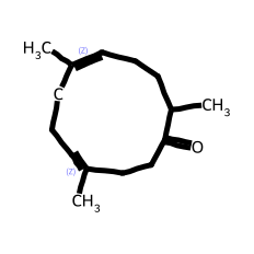 C/C1=C/CCC(C)C(=O)CC/C(C)=C\CC1